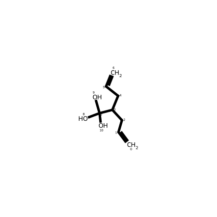 C=CCC(CC=C)C(O)(O)O